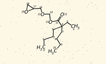 CCCCC(CC)(CCCC)C(=O)OCOCC1CO1